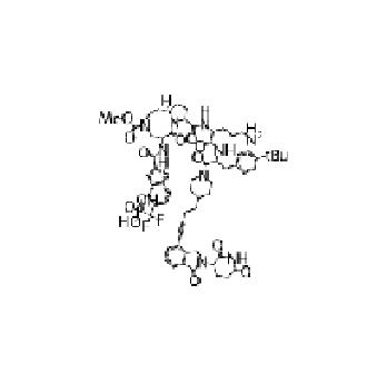 COC(=O)N1CC[C@H]2CC[C@@H](C(=O)N[C@@H](CCCN)C(=O)N[C@@H](Cc3ccc(C(C)(C)C)cc3)C(=O)N3CCC(CCC#Cc4cccc5c4CN(C4CCC(=O)NC4=O)C5=O)CC3)N2C(=O)[C@@H](NC(=O)c2cc3cc(C(F)(F)P(=O)(O)O)ccc3s2)C1